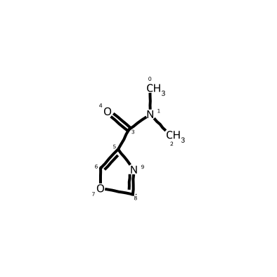 CN(C)C(=O)c1co[c]n1